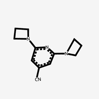 N#Cc1cc(N2CCC2)nc(N2CCC2)c1